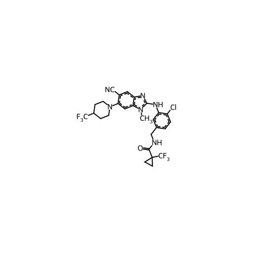 Cn1c(Nc2cc(CNC(=O)C3(C(F)(F)F)CC3)ccc2Cl)nc2cc(C#N)c(N3CCC(C(F)(F)F)CC3)cc21